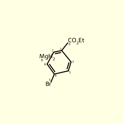 CCOC(=O)c1ccc(Br)cc1.[MgH2]